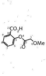 COCC(=O)Oc1ccccc1C(=O)O